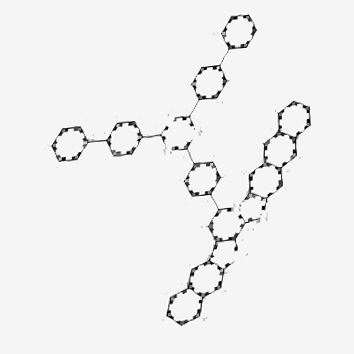 c1ccc(-c2ccc(-c3nc(-c4ccc(-c5ccccc5)cc4)nc(-c4ccc(-c5cc6c7cc8ccccc8cc7sc6c6nc7cc8cc9ccccc9cc8cc7n56)cc4)n3)cc2)cc1